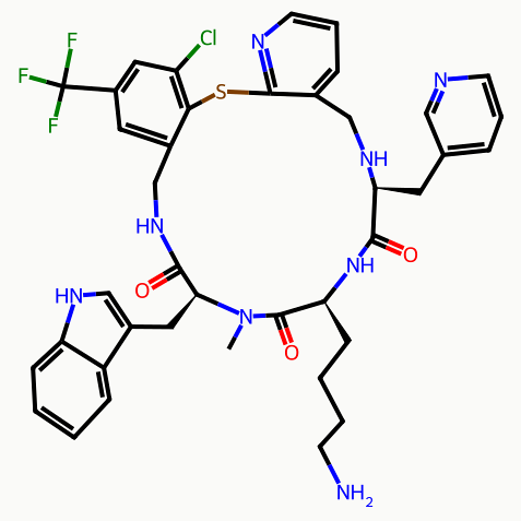 CN1C(=O)[C@H](CCCCN)NC(=O)[C@H](Cc2cccnc2)NCc2cccnc2Sc2c(Cl)cc(C(F)(F)F)cc2CNC(=O)[C@@H]1Cc1c[nH]c2ccccc12